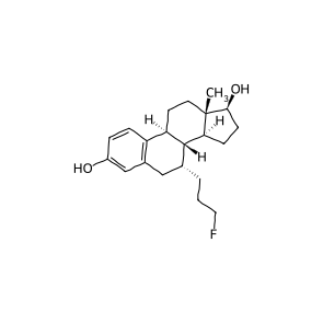 C[C@]12CC[C@@H]3c4ccc(O)cc4C[C@@H](CCCF)[C@H]3[C@@H]1CC[C@@H]2O